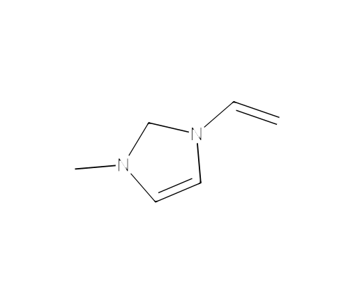 C=CN1[CH]N(C)C=C1